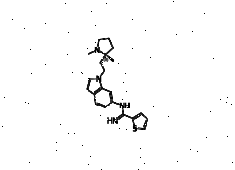 CN1CCC[C@]1(C)CCn1ccc2ccc(NC(=N)c3cccs3)cc21